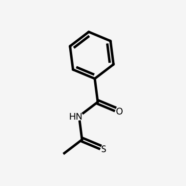 CC(=S)NC(=O)c1ccccc1